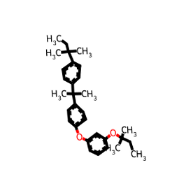 CCC(C)(C)Oc1cccc(Oc2ccc(C(C)(C)c3ccc(C(C)(C)CC)cc3)cc2)c1